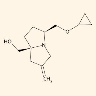 C=C1CN2[C@H](COC3CC3)CC[C@@]2(CO)C1